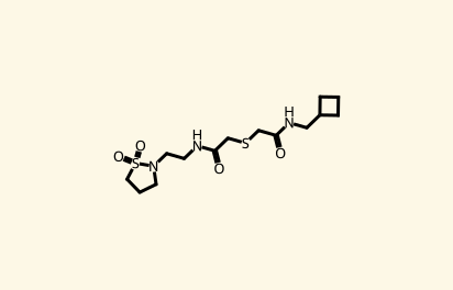 O=C(CSCC(=O)NCC1CCC1)NCCN1CCCS1(=O)=O